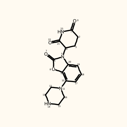 O=C1CCC(n2c(=O)oc3c(N4CCNCC4)cccc32)C(=O)N1